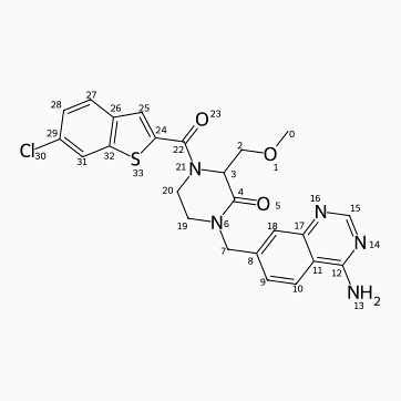 COCC1C(=O)N(Cc2ccc3c(N)ncnc3c2)CCN1C(=O)c1cc2ccc(Cl)cc2s1